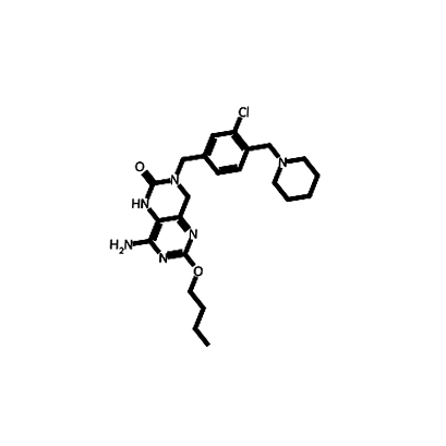 CCCCOc1nc(N)c2c(n1)CN(Cc1ccc(CN3CCCCC3)c(Cl)c1)C(=O)N2